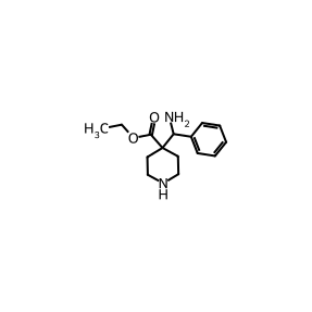 CCOC(=O)C1(C(N)c2ccccc2)CCNCC1